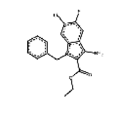 CCOC(=O)c1c(N)c2cc(F)c(Cl)cc2n1Cc1ccccc1